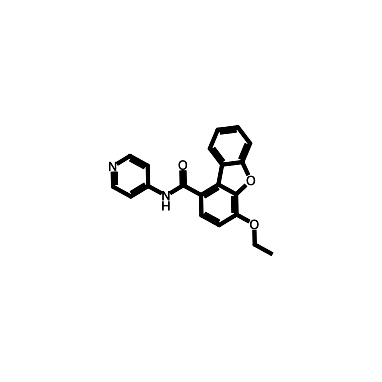 CCOc1ccc(C(=O)Nc2ccncc2)c2c1oc1ccccc12